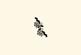 CCCCC(OC(C)NC(C)OC(CCCC)[Si](OC)(OC)OC)[Si](OC)(OC)OC